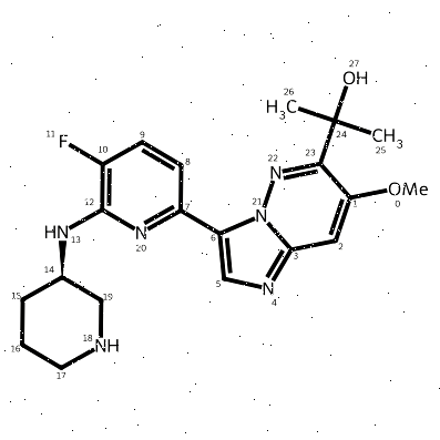 COc1cc2ncc(-c3ccc(F)c(N[C@@H]4CCCNC4)n3)n2nc1C(C)(C)O